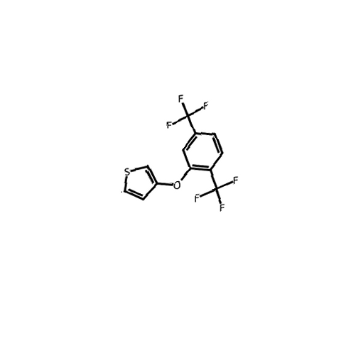 FC(F)(F)c1ccc(C(F)(F)F)c(Oc2c[c]sc2)c1